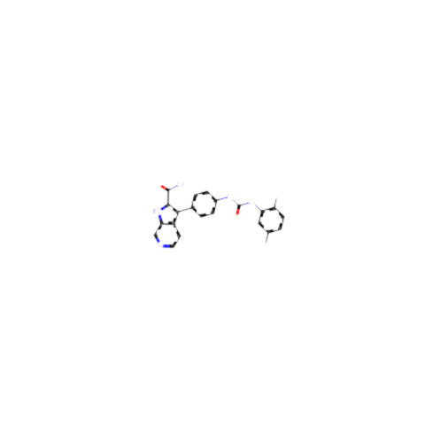 NC(=O)c1[nH]c2cnccc2c1-c1ccc(NC(=O)Nc2cc(C(F)(F)F)ccc2Cl)cc1